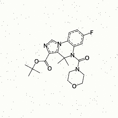 CC(C)(C)OC(=O)c1ncn2c1C(C)(C)N(C(=O)N1CCOCC1)c1cc(F)ccc1-2